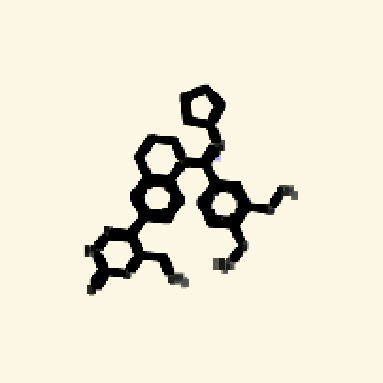 CCC1SC(=O)NN=C1c1ccc2c(c1)CCCN2/C(=N\C1CCCC1)c1ccc(OC)c(OC)c1